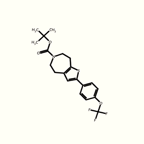 CC(C)(C)OC(=O)N1CCc2cc(-c3ccc(OC(F)(F)F)cc3)sc2CC1